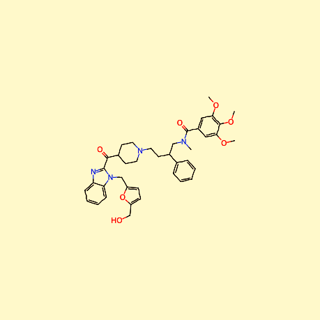 COc1cc(C(=O)N(C)CC(CCN2CCC(C(=O)c3nc4ccccc4n3Cc3ccc(CO)o3)CC2)c2ccccc2)cc(OC)c1OC